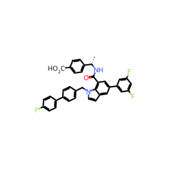 C[C@H](NC(=O)c1cc(-c2cc(F)cc(F)c2)cc2ccn(Cc3ccc(-c4ccc(F)cc4)cc3)c12)c1ccc(C(=O)O)cc1